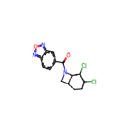 O=C(c1ccc2nonc2c1)N1CC2CCC(Cl)C(Cl)C21